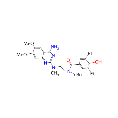 CCCCN(CCN(C)c1nc(N)c2cc(OC)c(OC)cc2n1)C(=O)c1cc(CC)c(O)c(CC)c1